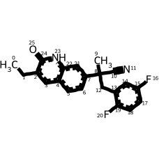 CCc1cc2ccc(C(C)(C#N)Cc3cc(F)ccc3F)cc2[nH]c1=O